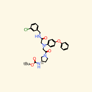 CC(C)(C)OC(=O)N[C@H]1CCN(C(=O)CN(CC(=O)NCc2cccc(Cl)c2)c2ccc(Oc3ccccc3)cc2)C1